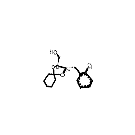 OC[C@@H]1OC2(CCCCC2)O[C@H]1Cc1ccccc1Cl